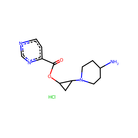 Cl.NC1CCN(C2CC2OC(=O)c2ccncn2)CC1